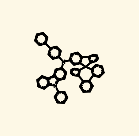 c1ccc(-c2ccc(N(c3ccc4c(c3)C3(c5ccccc5-c5ccccc5-c5ccccc53)c3ccccc3-4)c3ccc4c(c3)c3ccccc3n4-c3ccccc3)cc2)cc1